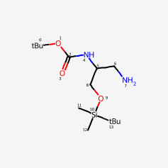 CC(C)(C)OC(=O)NC(CN)CO[Si](C)(C)C(C)(C)C